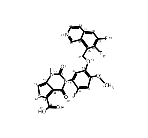 COc1cc(F)c(-n2c(=O)[nH]c3csc(C(=O)O)c3c2=O)cc1OCc1c(F)c(F)cc2ccncc12